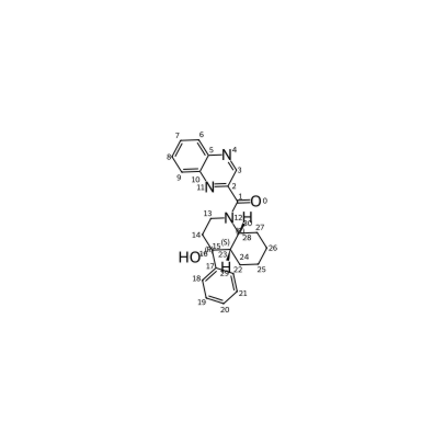 O=C(c1cnc2ccccc2n1)N1CC[C@](O)(c2ccccc2)[C@H]2CCCC[C@H]21